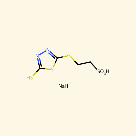 O=S(=O)(O)CCSc1nnc(S)s1.[NaH]